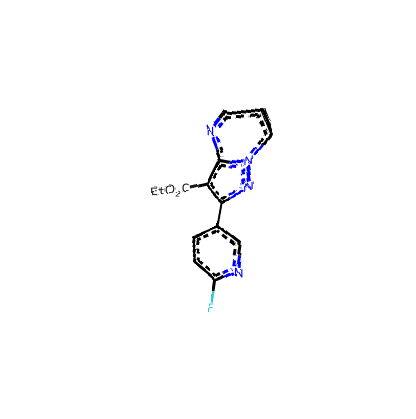 CCOC(=O)c1c(-c2ccc(F)nc2)nn2cccnc12